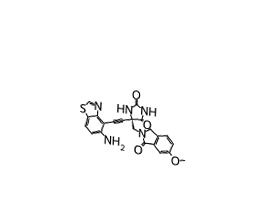 COc1ccc2c(c1)C(=O)N(C[C@@]1(C#Cc3c(N)ccc4scnc34)NC(=O)NC1=O)C2